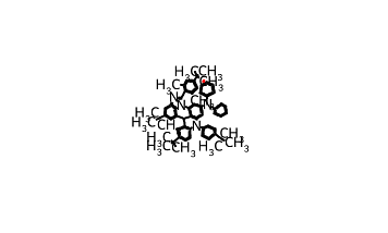 Cc1cc(C(C)(C)C)cc(C)c1-c1nc2cc(C(C)(C)C)cc3c2n1-c1cc(N(c2ccccc2)c2ccccc2)cc2c1C3c1cc(C(C)(C)C)ccc1N2c1ccc(C(C)(C)C)cc1